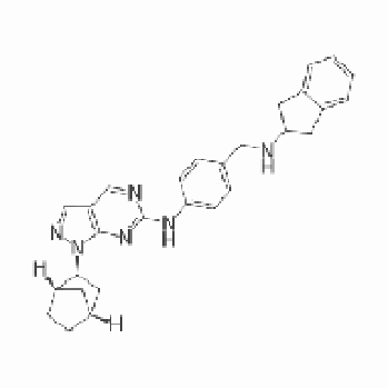 c1ccc2c(c1)CC(NCc1ccc(Nc3ncc4cnn([C@H]5C[C@@H]6CC[C@H]5C6)c4n3)cc1)C2